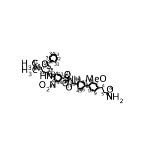 COc1cc(CCC(N)=O)ccc1-c1ccc(C(=O)NS(=O)(=O)c2ccc(N[C@@H](CSc3ccccc3)CC(=O)N(C)C)c([N+](=O)[O-])c2)cc1